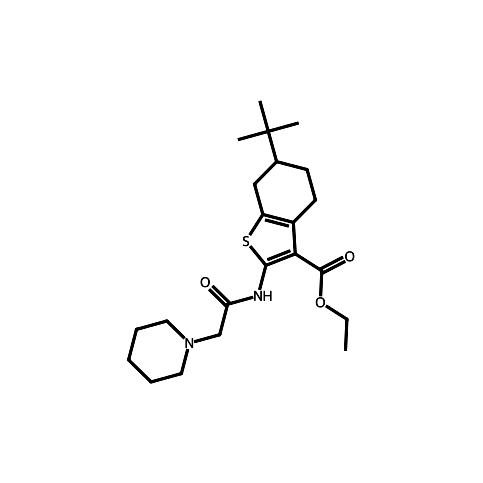 CCOC(=O)c1c(NC(=O)CN2CCCCC2)sc2c1CCC(C(C)(C)C)C2